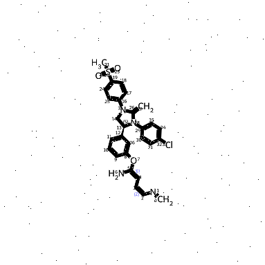 C=N/C=C\C=C(/N)Oc1cccc([C@H]2CN(c3ccc(S(C)(=O)=O)cc3)C(=C)N2c2ccc(Cl)cc2)c1